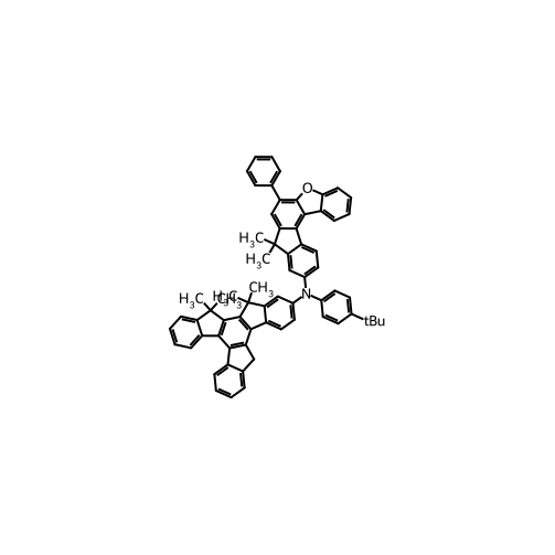 CC(C)(C)c1ccc(N(c2ccc3c(c2)C(C)(C)c2cc(-c4ccccc4)c4oc5ccccc5c4c2-3)c2ccc3c(c2)C(C)(C)c2c-3c3c(c4c2C(C)(C)c2ccccc2-4)-c2ccccc2C3)cc1